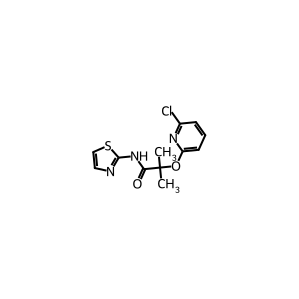 CC(C)(Oc1cccc(Cl)n1)C(=O)Nc1nccs1